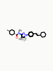 CC(C)N(c1nn(-c2ccc(/C=C/C3CCCCC3)cc2)cc1C(=O)O)C(=O)[C@H]1CC[C@H](C)CC1